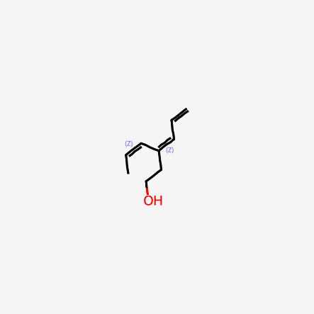 C=C/C=C(\C=C/C)CCO